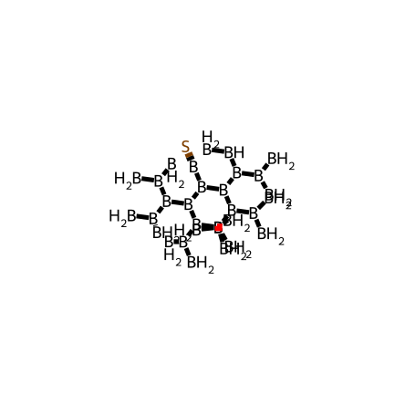 BBB(B(B)B)B(B(B=S)B(B(B(B)B)B(B)B)B(B(B)B)B(B)B)B(B(B)B)B(B)B